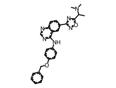 CC(c1nc(-c2ccc3ncnc(Nc4ccc(OCc5ccccc5)cc4)c3c2)no1)N(C)C